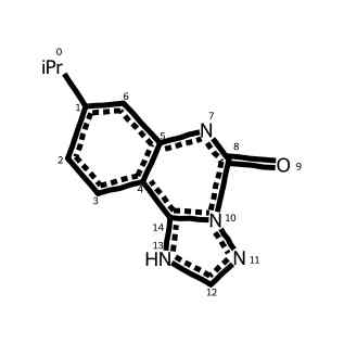 CC(C)c1ccc2c(c1)nc(=O)n1nc[nH]c21